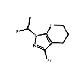 CC(C)c1nn(C(F)F)c2c1CCCO2